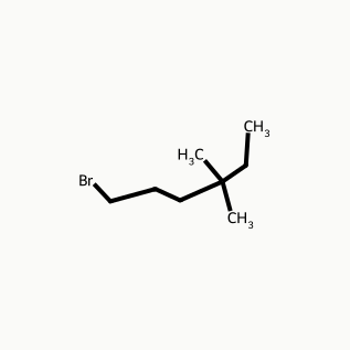 CCC(C)(C)CCCBr